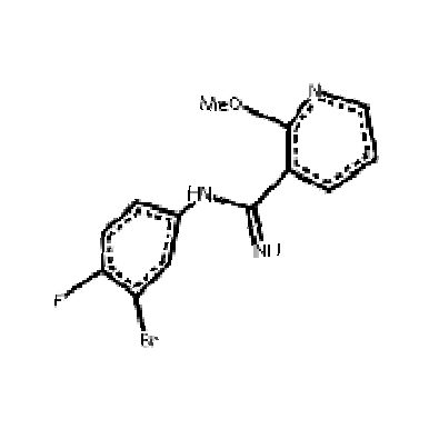 COc1ncccc1C(=N)Nc1ccc(F)c(Br)c1